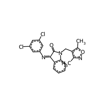 Cc1noc(C)c1CN1C(=O)C(=Nc2cc(Cl)cc(Cl)c2)c2ccccc21